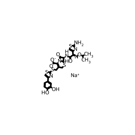 CC(C)O/N=C(/C(=O)N[C@@H]1C(=O)N2C(C(=O)[O-])=C(CSc3nc(-c4ccc(O)c(O)c4)cs3)CS[C@H]12)c1csc(N)n1.[Na+]